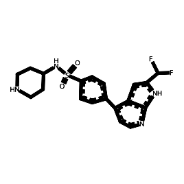 O=S(=O)(NC1CCNCC1)c1ccc(-c2ccnc3[nH]c(C(F)F)cc23)cc1